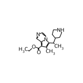 CCOC(=O)c1c(C)c(C(C)C2CCNCC2)n2ccncc12